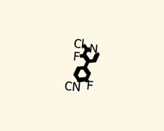 N#Cc1ccc(-c2ccnc(Cl)c2F)cc1F